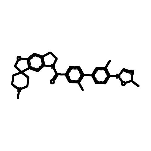 Cc1cc(C(=O)N2CCc3cc4c(cc32)C2(CCN(C)CC2)CO4)ccc1-c1ccc(N2C=NC(C)O2)c(C)c1